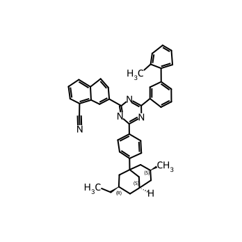 CC[C@@H]1C[C@@H]2C[C@H](C)CC(c3ccc(-c4nc(-c5cccc(-c6ccccc6C)c5)nc(-c5ccc6cccc(C#N)c6c5)n4)cc3)(C1)C2